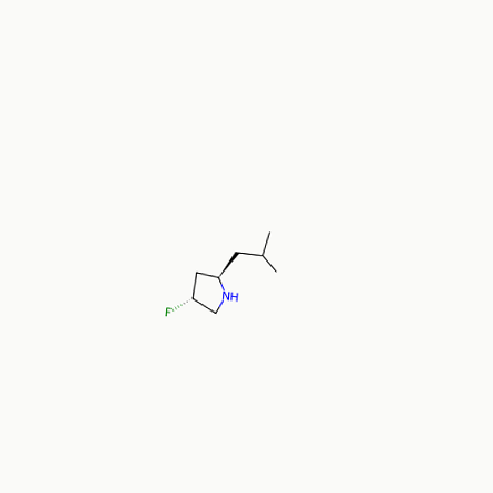 CC(C)C[C@@H]1C[C@@H](F)CN1